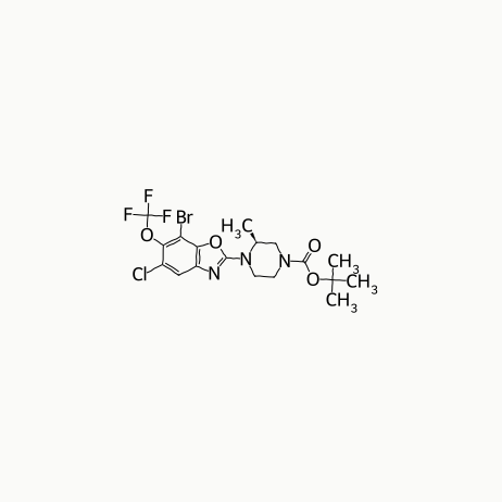 C[C@H]1CN(C(=O)OC(C)(C)C)CCN1c1nc2cc(Cl)c(OC(F)(F)F)c(Br)c2o1